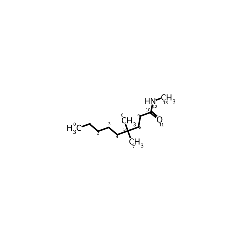 CCCCCC(C)(C)CCC(=O)NC